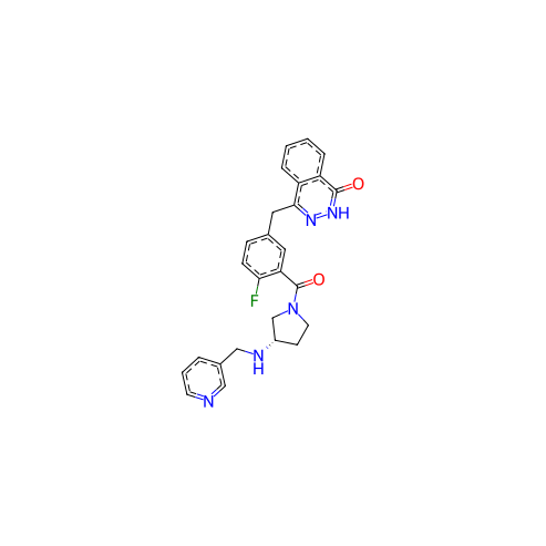 O=C(c1cc(Cc2n[nH]c(=O)c3ccccc23)ccc1F)N1CC[C@H](NCc2cccnc2)C1